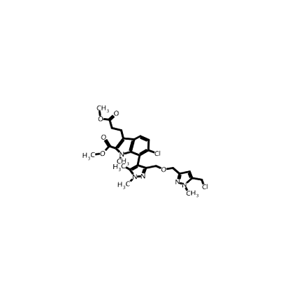 COC(=O)CCc1c(C(=O)OC)n(C)c2c(-c3c(COCc4cc(CCl)n(C)n4)nn(C)c3C)c(Cl)ccc12